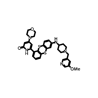 COc1cncc(CN2CCC(Nc3ccc4c(c3)Sc3cccc(-c5cc(N6CCOCC6)cc(=O)[nH]5)c3S4)CC2)c1